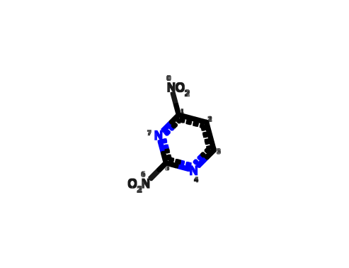 O=[N+]([O-])c1ccnc([N+](=O)[O-])n1